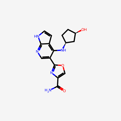 NC(=O)c1coc(-c2cnc3[nH]ccc3c2N[C@H]2CC[C@@H](O)C2)n1